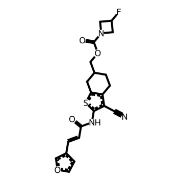 N#Cc1c(NC(=O)C=Cc2ccoc2)sc2c1CCC(COC(=O)N1CC(F)C1)C2